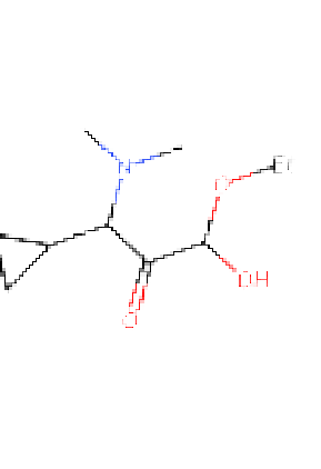 CCOC(O)C(=O)C(C1CC1)N(C)C